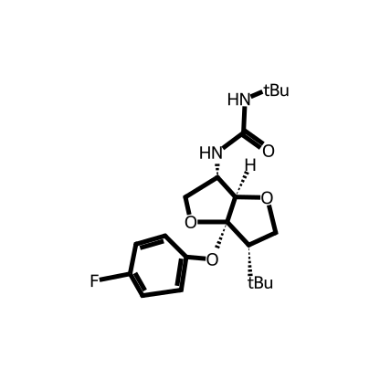 CC(C)(C)NC(=O)N[C@H]1CO[C@@]2(Oc3ccc(F)cc3)[C@@H]1OC[C@@H]2C(C)(C)C